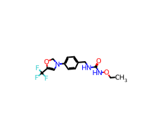 CCONC(=O)NCc1ccc(N2C=C(C(F)(F)F)OC2)cc1